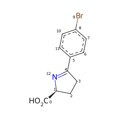 O=C(O)[C@@H]1CCC(c2ccc(Br)cc2)=N1